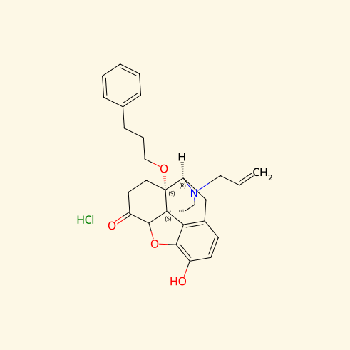 C=CCN1CC[C@]23c4c5ccc(O)c4OC2C(=O)CC[C@@]3(OCCCc2ccccc2)[C@H]1C5.Cl